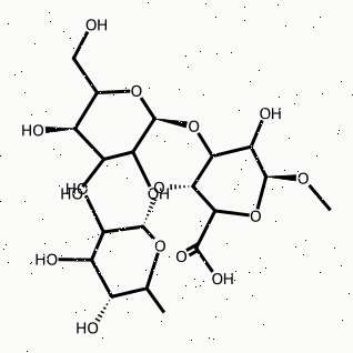 CO[C@H]1OC(C(=O)O)[C@H](O[C@@H]2OC(C)[C@H](O)C(O)C2O)C(O[C@@H]2OC(CO)[C@H](O)C(O)C2O)C1O